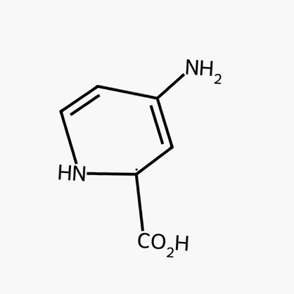 NC1=C[C](C(=O)O)NC=C1